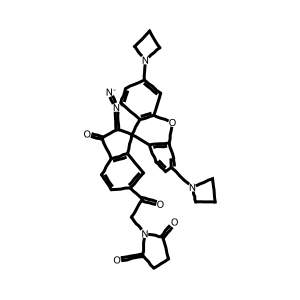 [N-]=[N+]=C1C(=O)c2ccc(C(=O)CN3C(=O)CCC3=O)cc2C12c1ccc(N3CCC3)cc1Oc1cc(N3CCC3)ccc12